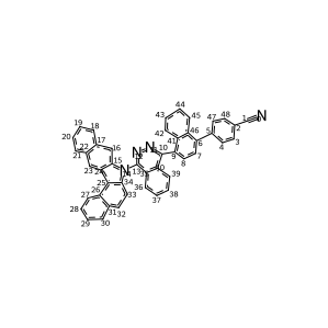 N#Cc1ccc(-c2ccc(-c3nnc(-n4c5cc6ccccc6cc5c5c6ccccc6ccc54)c4ccccc34)c3ccccc23)cc1